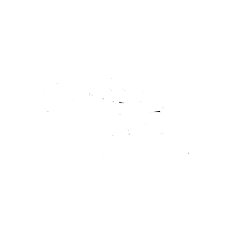 CN(C(=O)NCc1ccccc1)N1CC(=O)N2[C@@H](Cc3ccc(O)cc3)C(=O)N(Cc3ccccc3)C[C@@H]21